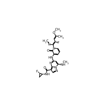 C=N/C(=C(F)\C=C(/C)OC)n1cccc(Nc2cc(NC)n3ncc(C(=O)N[C@H]4C[C@H]4F)c3n2)c1=O